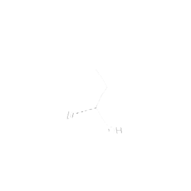 CC[C](O)Br